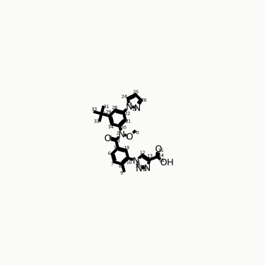 CON(C(=O)c1ccc(C)c(-n2cc(C(=O)O)nn2)c1)c1cc(-n2cccn2)cc(C(C)(C)C)c1